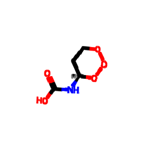 O=C(O)N[C@H]1CCOOO1